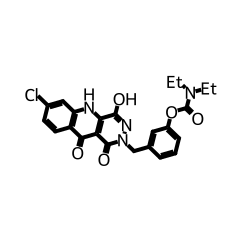 CCN(CC)C(=O)Oc1cccc(Cn2nc(O)c3[nH]c4cc(Cl)ccc4c(=O)c3c2=O)c1